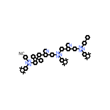 CC1(C)CCC(C)(C)c2cc(-c3nc(-c4ccc(-c5ccccc5)cc4)nc(-c4ccc(-c5ccc(-c6cccc(-c7nc(-c8ccc(-c9ccc(-c%10cccc(C%11(c%12ccccc%12)c%12ccccc%12-c%12c(-c%13nc(-c%14ccc(C#N)cc%14)nc(-c%14ccc%15c(c%14)C(C)(C)CCC%15(C)C)n%13)cccc%12%11)c%10)c%10cccnc9%10)cc8)nc(-c8ccc9c(c8)C(C)(C)CCC9(C)C)n7)c6)c6cccnc56)cc4)n3)ccc21